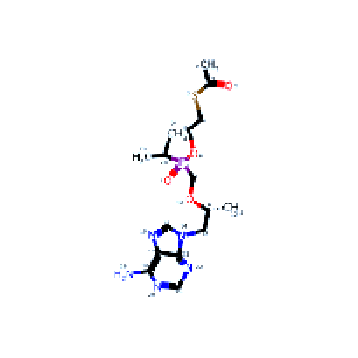 CC(=O)SCCOP(=O)(CO[C@H](C)Cn1cnc2c(N)ncnc21)C(C)C